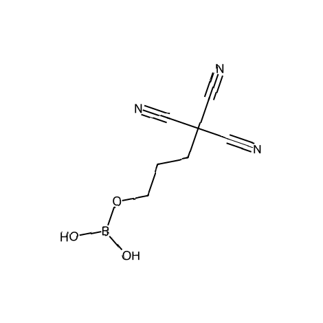 N#CC(C#N)(C#N)CCCOB(O)O